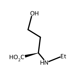 CCN[C@H](CCO)C(=O)O